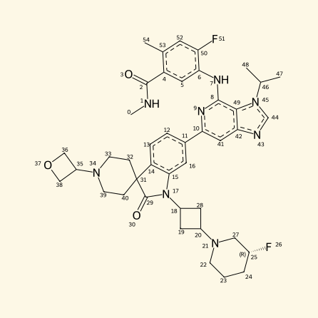 CNC(=O)c1cc(Nc2nc(-c3ccc4c(c3)N(C3CC(N5CCC[C@@H](F)C5)C3)C(=O)C43CCN(C4COC4)CC3)cc3ncn(C(C)C)c23)c(F)cc1C